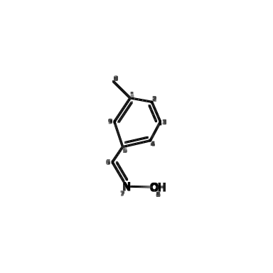 Cc1c[c]cc(/C=N\O)c1